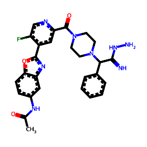 CC(=O)Nc1ccc2oc(-c3cc(C(=O)N4CCN(C(C(=N)NN)c5ccccc5)CC4)ncc3F)nc2c1